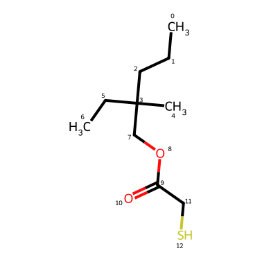 CCCC(C)(CC)COC(=O)CS